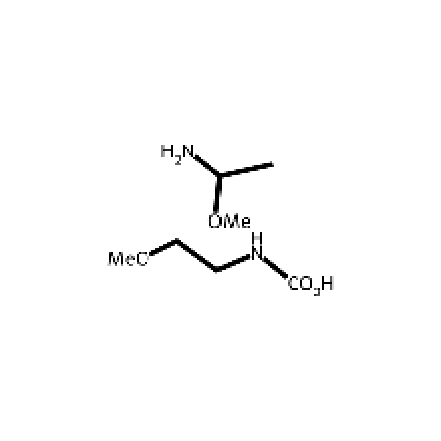 COC(C)N.COCCNC(=O)O